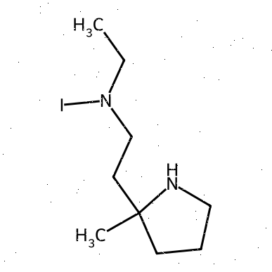 CCN(I)CCC1(C)CCCN1